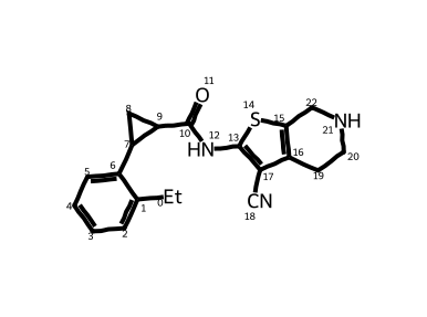 CCc1ccccc1C1CC1C(=O)Nc1sc2c(c1C#N)CCNC2